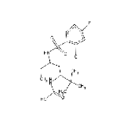 CCC(CC(NC(=O)O)C(C)(C)C)NS(=O)(=O)c1ccc(F)cc1Cl